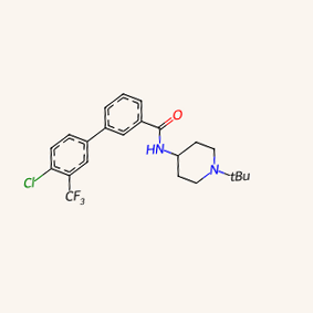 CC(C)(C)N1CCC(NC(=O)c2cccc(-c3ccc(Cl)c(C(F)(F)F)c3)c2)CC1